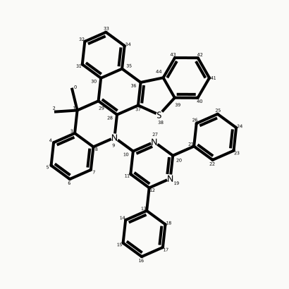 CC1(C)c2ccccc2N(c2cc(-c3ccccc3)nc(-c3ccccc3)n2)c2c1c1ccccc1c1c2sc2ccccc21